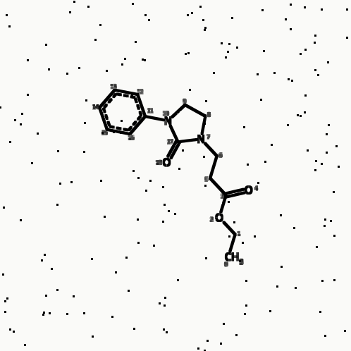 CCOC(=O)CCN1CCN(c2ccccc2)C1=O